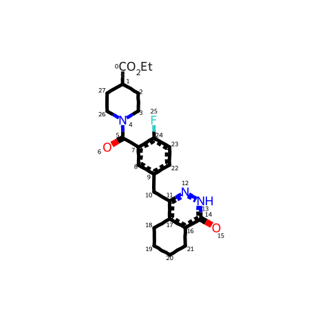 CCOC(=O)C1CCN(C(=O)c2cc(Cc3n[nH]c(=O)c4c3CCCC4)ccc2F)CC1